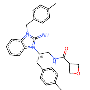 Cc1ccc(C[C@@H](CNC(=O)C2COC2)n2c(=N)n(Cc3ccc(C)cc3)c3ccccc32)cc1